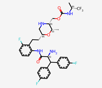 C[C@@H]1O[C@H](CCc2c(F)cccc2NC(=O)[C@@H](N)C(c2ccc(F)cc2)c2ccc(F)cc2)CN[C@@H]1COC(=O)N[C@H](C)C(F)(F)F